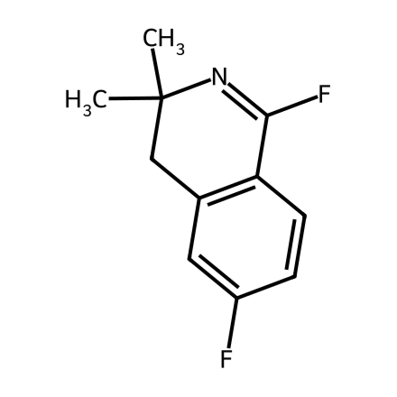 CC1(C)Cc2cc(F)ccc2C(F)=N1